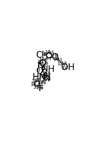 O=C(Nc1cc(-c2cc(OCCCCO)ccc2Cl)ccn1)c1nnc(Cc2ccccc2F)[nH]1